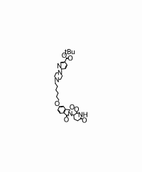 CC(C)(C)OC(=O)c1ccc(N2CCN(CCCCCCOc3ccc4c(c3)C(=O)N(C3CCC(=O)NC3=O)C4=O)CC2)nc1